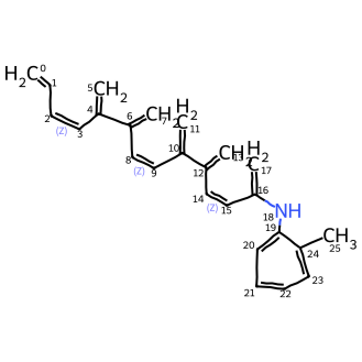 C=C/C=C\C(=C)C(=C)/C=C\C(=C)C(=C)/C=C\C(=C)Nc1ccccc1C